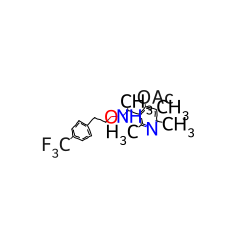 CC(=O)Oc1c(C)c(C)nc(C)c1C(C)NOCCc1ccc(C(F)(F)F)cc1